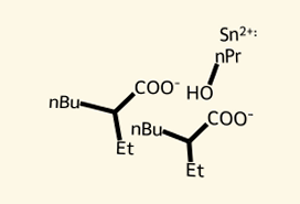 CCCCC(CC)C(=O)[O-].CCCCC(CC)C(=O)[O-].CCCO.[Sn+2]